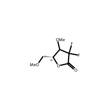 COC[C@H]1OC(=O)C(F)(F)C1OC